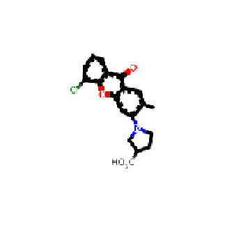 Cc1cc2c(=O)c3cccc(Cl)c3oc2cc1N1CCC(C(=O)O)C1